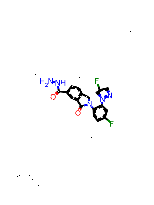 NNC(=O)c1ccc2c(c1)C(=O)N(c1ccc(F)cc1-n1cc(F)cn1)C2